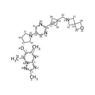 Cc1nc2nc(C)c(O[C@@H]3CCN(c4cnc(C56CC(CN7CC8(COC8)C7)(C5)C6)nc4)C3)c(C)n2n1